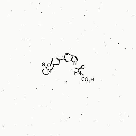 O=C(O)CNC(=O)Cn1ccc2ccc(-c3cccc(CN4CCCS4(=O)=O)c3)cc21